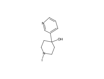 OC1(c2cccnc2)CCN(I)CC1